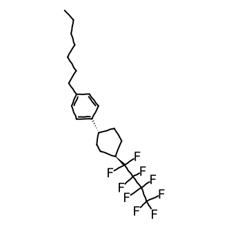 CCCCCCCc1ccc([C@H]2CC[C@H](C(F)(F)C(F)(F)C(F)(F)C(F)(F)F)CC2)cc1